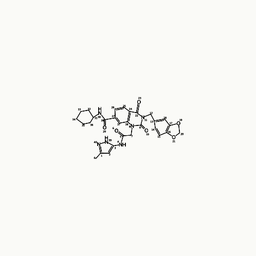 Cc1cc(NC(=O)Cn2c(=O)n(Cc3ccc4c(c3)OCO4)c(=O)c3ccc(C(=O)NC4CCCCC4)cc32)[nH]n1